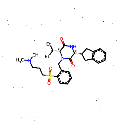 CCC(CC)[C@@H]1C(=O)N[C@H](C2Cc3ccccc3C2)C(=O)N1Cc1ccccc1S(=O)(=O)CCCN(C)C